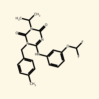 Cc1ccc(Cn2c(Nc3cccc(OC(F)F)c3)nc(=O)n(C(C)C)c2=O)cc1